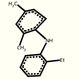 CCc1ccccc1Nc1ccc(C)cc1C